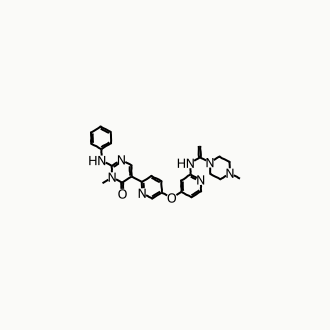 C=C(Nc1cc(Oc2ccc(-c3cnc(Nc4ccccc4)n(C)c3=O)nc2)ccn1)N1CCN(C)CC1